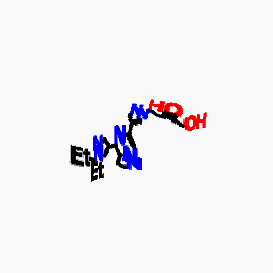 CCC(CC)n1cc(-c2nc(-c3cnn(CC[C@H](O)CO)c3)cn3nccc23)cn1